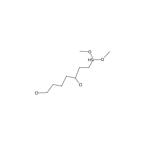 CO[SiH](CCC(Cl)CCCCCl)OC